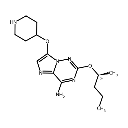 CCC[C@H](C)Oc1nc(N)c2ncc(OC3CCNCC3)n2n1